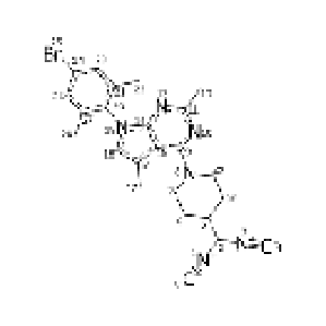 [C-]#[N+]C([N+]#[C-])C1CCN(c2nc(C)nc3c2c(C)cn3-c2c(C)cc(Br)cc2C)CC1